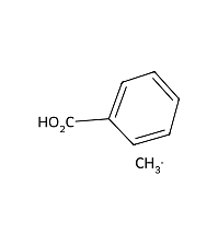 O=C(O)c1ccccc1.[CH3]